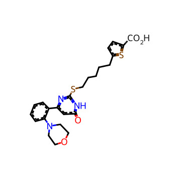 O=C(O)c1ccc(CCCCCSc2nc(-c3ccccc3N3CCOCC3)cc(=O)[nH]2)s1